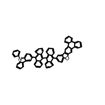 c1ccc(-n2c3ccccc3c3cc(-c4c5ccccc5c(-c5c6ccccc6c(-c6ccc7oc8cc9c%10ccccc%10c%10ccccc%10c9cc8c7c6)c6ccccc56)c5ccccc45)ccc32)cc1